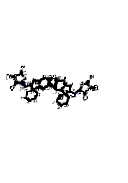 CCN1C(=O)/C(=C/C2=Cc3cc4sc5cc6c(cc5c4cc3C23CCCCC3)C2(CCCCC2)C(/C=C2\SC(=S)N(CC)C2=O)=C6)SC1=S